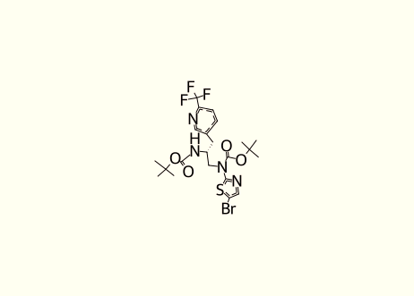 CC(C)(C)OC(=O)N[C@H](Cc1ccc(C(F)(F)F)nc1)CN(C(=O)OC(C)(C)C)c1ncc(Br)s1